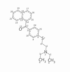 CCN(CC)CCSc1ccc(C(=O)c2cccc3ccccc23)cc1